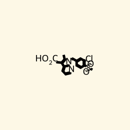 Cc1c(CC(=O)O)c2cccnc2n1Cc1ccc(S(C)(=O)=O)c(Cl)c1